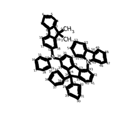 CC1(C)c2ccccc2-c2ccc(N(c3ccccc3)c3ccc4c(c3)C(c3ccccc3)(c3ccccc3)c3cccc(-n5c6ccccc6c6ccccc65)c3-4)cc21